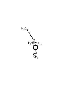 CCCCCCCC[Si](C)(C)c1ccc(OCC)cc1